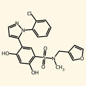 CN(Cc1ccoc1)S(=O)(=O)c1cc(-c2ccnn2-c2ccccc2Cl)c(O)cc1O